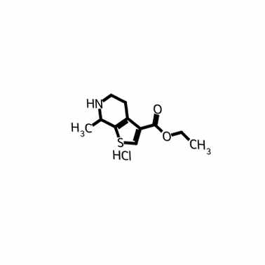 CCOC(=O)c1csc2c1CCNC2C.Cl